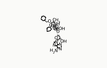 C[C@H](NP(=O)(Oc1ccccc1)OP(=O)(O)OC[C@@H]1C[C@H](O)[C@H](n2cnc3c(N)ncnc32)O1)C(=O)OCc1ccccc1